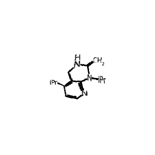 C=C1NCc2c(C(C)C)ccnc2N1C(C)C